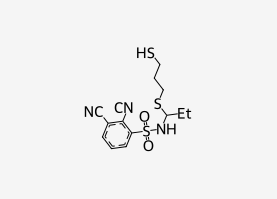 CCC(NS(=O)(=O)c1cccc(C#N)c1C#N)SCCCS